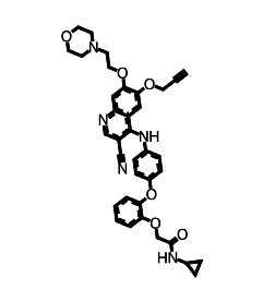 C#CCOc1cc2c(Nc3ccc(Oc4ccccc4OCC(=O)NC4CC4)cc3)c(C#N)cnc2cc1OCCN1CCOCC1